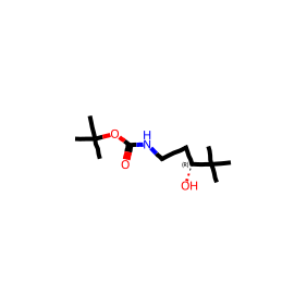 CC(C)(C)OC(=O)NCC[C@@H](O)C(C)(C)C